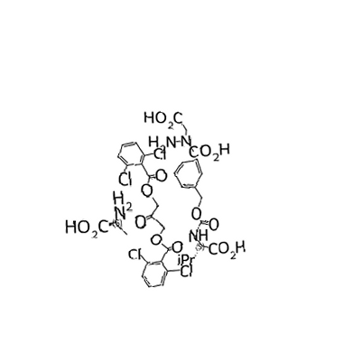 CC(C)[C@H](NC(=O)OCc1ccccc1)C(=O)O.C[C@H](N)C(=O)O.NN(CC(=O)O)C(=O)O.O=C(COC(=O)c1c(Cl)cccc1Cl)COC(=O)c1c(Cl)cccc1Cl